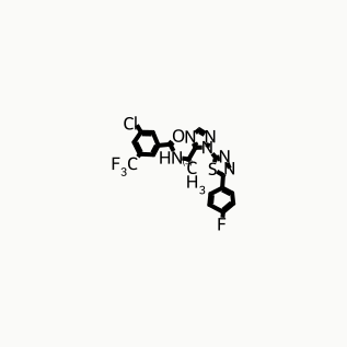 C[C@H](NC(=O)c1cc(Cl)cc(C(F)(F)F)c1)c1ncnn1-c1nnc(-c2ccc(F)cc2)s1